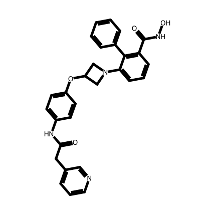 O=C(Cc1cccnc1)Nc1ccc(OC2CN(c3cccc(C(=O)NO)c3-c3ccccc3)C2)cc1